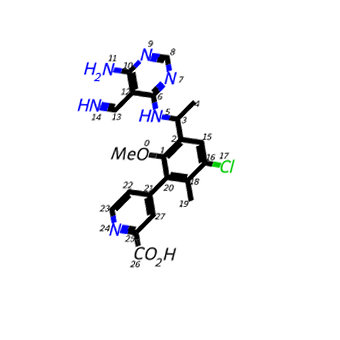 COc1c(C(C)Nc2ncnc(N)c2C=N)cc(Cl)c(C)c1-c1ccnc(C(=O)O)c1